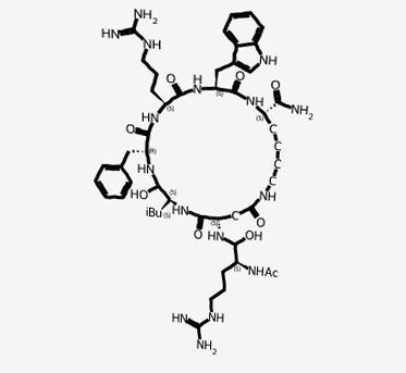 CC[C@H](C)[C@@H]1NC(=O)[C@@H](NC(O)[C@H](CCCNC(=N)N)NC(C)=O)CC(=O)NCCCC[C@@H](C(N)=O)NC(=O)[C@H](Cc2c[nH]c3ccccc23)NC(=O)[C@H](CCCNC(=N)N)NC(=O)[C@@H](Cc2ccccc2)NC1O